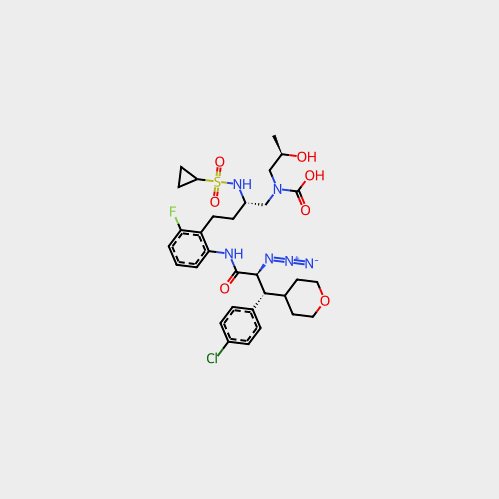 C[C@@H](O)CN(C[C@H](CCc1c(F)cccc1NC(=O)[C@@H](N=[N+]=[N-])[C@@H](c1ccc(Cl)cc1)C1CCOCC1)NS(=O)(=O)C1CC1)C(=O)O